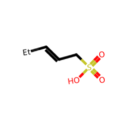 CCC=CCS(=O)(=O)O